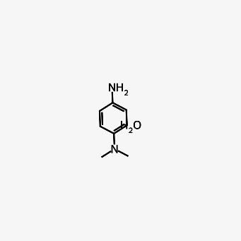 CN(C)c1ccc(N)cc1.O